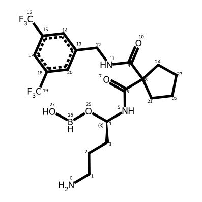 NCCC[C@H](NC(=O)C1(C(=O)NCc2cc(C(F)(F)F)cc(C(F)(F)F)c2)CCCC1)OBO